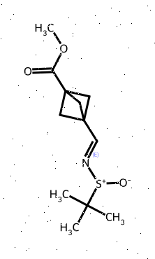 COC(=O)C12CC(/C=N/[S+]([O-])C(C)(C)C)(C1)C2